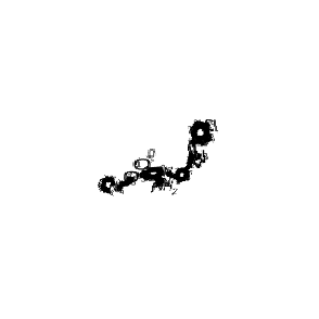 COc1cc2nc(-c3cccc(-c4cn(Cc5ccc(Cl)cc5)nn4)c3)nc(N)c2cc1OCCCN1CCOCC1